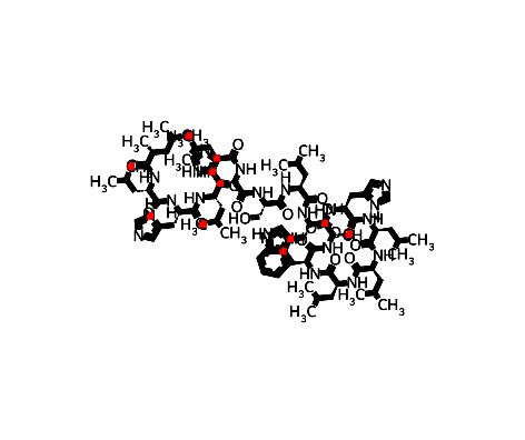 CC(C)C[C@H](NC(=O)[C@H](CC(C)C)NC(=O)[C@H](CC(C)C)NC(=O)[C@H](Cc1cnc[nH]1)NC(=O)[C@H](Cc1c[nH]c2ccccc12)NC(=O)[C@H](CC(C)C)NC(=O)[C@H](CO)NC(=O)[C@H](Cc1cnc[nH]1)NC(=O)[C@H](CC(C)C)NC(=O)[C@H](CC(C)C)NC(=O)[C@H](Cc1cnc[nH]1)NC(=O)[C@H](CC(C)C)NC(=O)[C@@H](C)CC(C)C)C(=O)N[C@@H](Cc1cnc[nH]1)C(=O)N[C@@H](C)C(=O)O